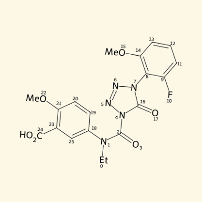 CCN(C(=O)n1nnn(-c2c(F)cccc2OC)c1=O)c1ccc(OC)c(C(=O)O)c1